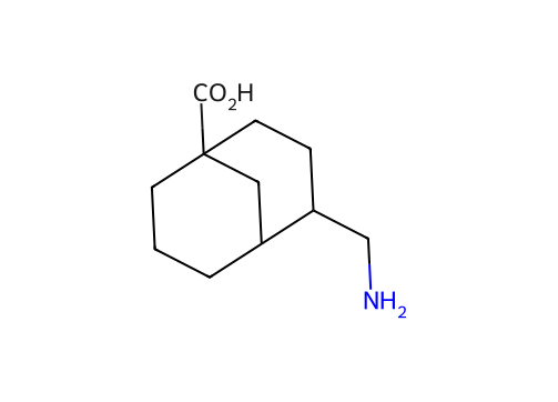 NCC1CCC2(C(=O)O)CCCC1C2